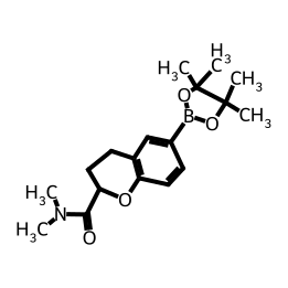 CN(C)C(=O)C1CCc2cc(B3OC(C)(C)C(C)(C)O3)ccc2O1